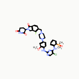 COc1cc(N2CCN(Cc3ccc4c(c3F)CN(C3CCC(=O)NC3=O)C4=O)CC2)ccc1Nc1ncc(Cl)c(Nc2ccccc2P(C)(C)=O)n1